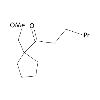 COCC1(C(=O)CCC(C)C)CCCC1